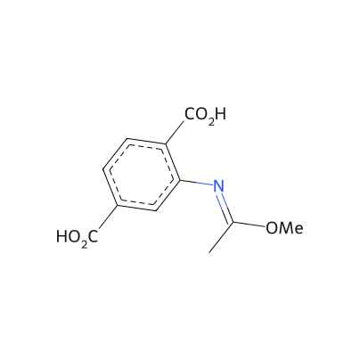 CO/C(C)=N/c1cc(C(=O)O)ccc1C(=O)O